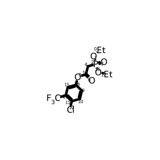 CCOP(=O)(CC(=O)Oc1ccc(Cl)c(C(F)(F)F)c1)OCC